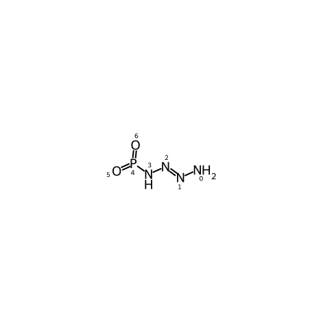 NN=NNP(=O)=O